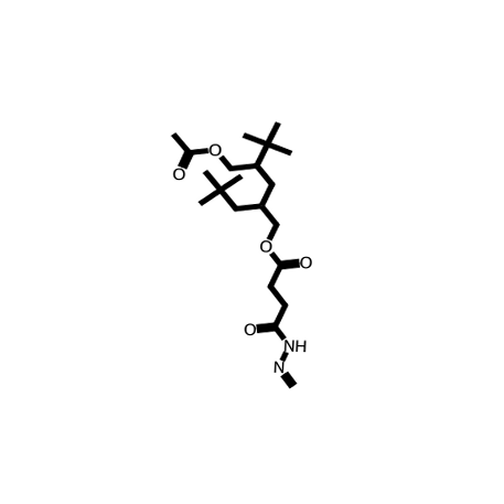 C=NNC(=O)CCC(=O)OCC(CC(COC(C)=O)C(C)(C)C)CC(C)(C)C